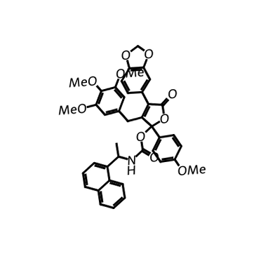 COc1ccc(C2(OC(=O)NC(C)c3cccc4ccccc34)OC(=O)C(c3ccc4c(c3)OCO4)=C2Cc2cc(OC)c(OC)c(OC)c2)cc1